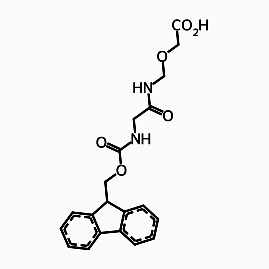 O=C(O)COCNC(=O)CNC(=O)OCC1c2ccccc2-c2ccccc21